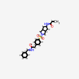 C=CC(=O)NC1CC2CN(S(=O)(=O)c3ccc(CC(=O)NCc4ccccc4)cc3)CC2C1